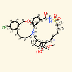 CO[C@@]1(C(C)(C)O)/C=C/C[C@H](C)[C@@H](C)S(=O)(=O)NC(=O)c2ccc3c(c2)N(CCCCc2cc(Cl)ccc2CO3)C[C@@H]2CC[C@H]21